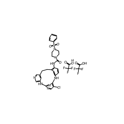 O=C(Nc1ccc2cc1CCc1cncc(c1)Nc1ncc(Cl)c(n1)N2)N1CCN(S(=O)(=O)c2ccccc2)CC1.O=C(O)C(F)(F)F.O=C(O)C(F)(F)F